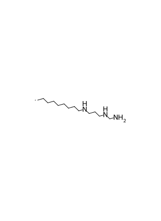 [CH2]CCCCCCCCNCCCNCN